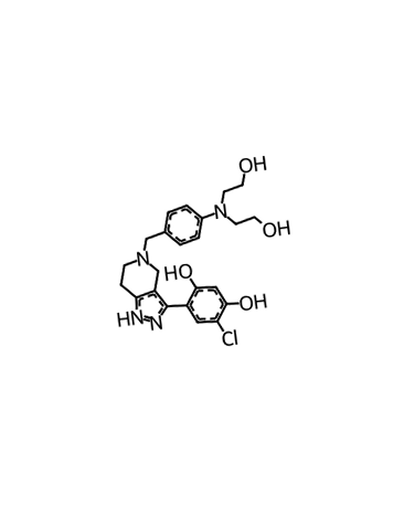 OCCN(CCO)c1ccc(CN2CCc3[nH]nc(-c4cc(Cl)c(O)cc4O)c3C2)cc1